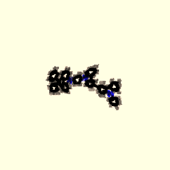 c1ccc(-n2c3ccccc3c3cc(-c4ccc5c(c4)c4ccccc4n5-c4ccc(-n5c6cccc7c6c6c(cccc65)C7(c5ccccc5)c5ccccc5)cc4)ccc32)cc1